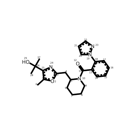 Cc1oc(CC2CCCCN2C(=O)c2ccccc2-n2cccn2)nc1C(C)(C)O